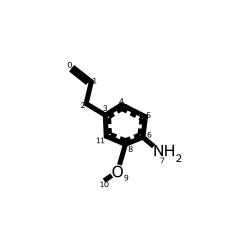 C=CCc1[c]cc(N)c(OC)c1